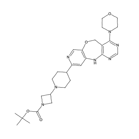 CC(C)(C)OC(=O)N1CC(N2CCC(c3cc4c(cn3)OCc3c(ncnc3N3CCOCC3)N4)CC2)C1